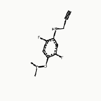 C#CCNc1cc(F)c(OP(C)C)cc1F